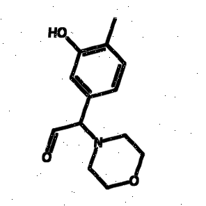 Cc1ccc(C(C=O)N2CCOCC2)cc1O